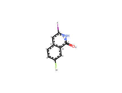 O=c1[nH]c(I)cc2ccc(F)cc12